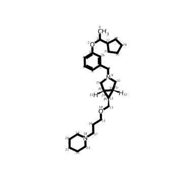 CC(Oc1cccc(CN2C[C@@H]3[C@@H](COCCCN4CCCCC4)[C@@H]3C2)c1)C1CCCC1